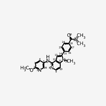 COc1ccc(Nc2nccc3c2cc(-c2ccc(C(=O)N(C)C)cc2)n3C)cn1